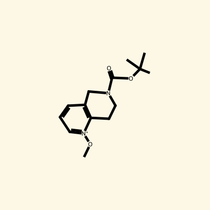 CO[n+]1cccc2c1CCN(C(=O)OC(C)(C)C)C2